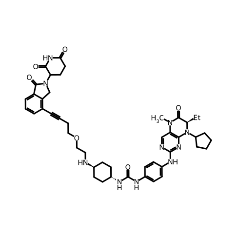 CC[C@@H]1C(=O)N(C)c2cnc(Nc3ccc(NC(=O)N[C@H]4CC[C@H](NCCOCCC#Cc5cccc6c5CN(C5CCC(=O)NC5=O)C6=O)CC4)cc3)nc2N1C1CCCC1